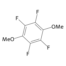 COc1c(F)c(F)c(OC)c(F)c1F